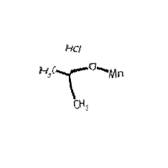 CC(C)[O][Mn].Cl